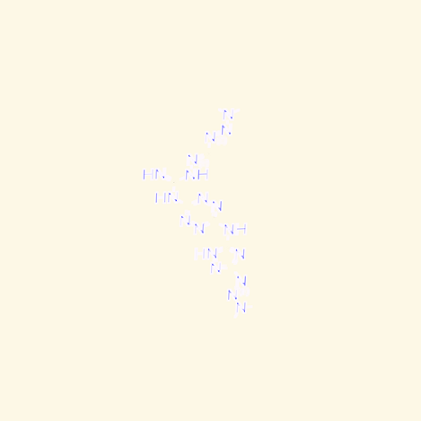 CCN(CC)/N=N/C(C)=N/NC(=N)Nc1nnc(Nc2nc(/N=N/N(CC)CC)n[nH]2)nn1